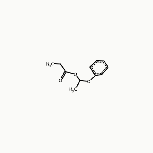 CCC(=O)OC(C)Oc1ccccc1